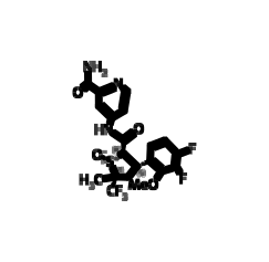 COc1c([C@@H]2C[C@](C)(C(F)(F)F)[S@+]([O-])[C@H]2C(=O)Nc2ccnc(C(N)=O)c2)ccc(F)c1F